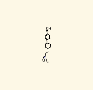 C#Cc1ccc(C2CCC(CC/C=C/C)CC2)cc1